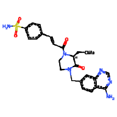 COC[C@H]1C(=O)N(Cc2ccc3c(N)ncnc3c2)CCN1C(=O)C=Cc1ccc(S(N)(=O)=O)cc1